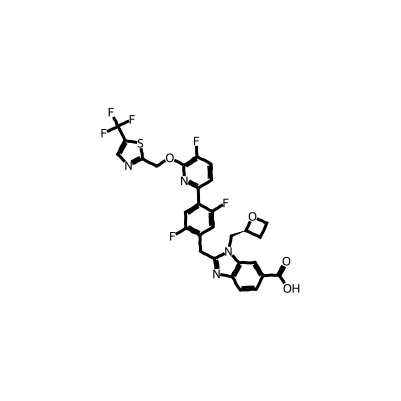 O=C(O)c1ccc2nc(Cc3cc(F)c(-c4ccc(F)c(OCc5ncc(C(F)(F)F)s5)n4)cc3F)n(C[C@@H]3CCO3)c2c1